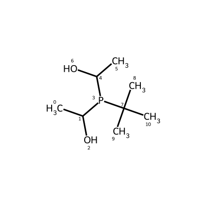 CC(O)P(C(C)O)C(C)(C)C